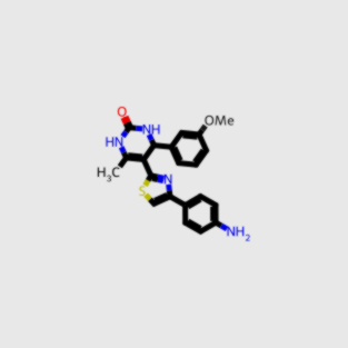 COc1cccc(C2NC(=O)NC(C)=C2c2nc(-c3ccc(N)cc3)cs2)c1